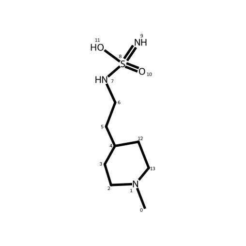 CN1CCC(CCNS(=N)(=O)O)CC1